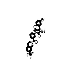 CC12CC(NC(=O)N1c1cccc(C(=O)N3CCc4ccc(C(F)(F)F)cc4C3)c1)c1cc(Br)ccc1O2